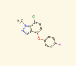 Cn1ncc2c(Oc3ccc(I)cc3)ccc(Cl)c21